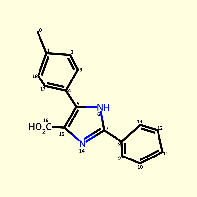 Cc1ccc(-c2[nH]c(-c3ccccc3)nc2C(=O)O)cc1